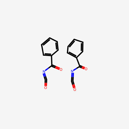 O=C=NC(=O)c1ccccc1.O=C=NC(=O)c1ccccc1